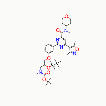 Cc1noc(C)c1-c1cc(C(=O)N(C)C2CCOCC2)nc(-c2cccc(OCC(CN(C)C(=O)OC(C)(C)C)O[Si](C)(C)C(C)(C)C)c2)n1